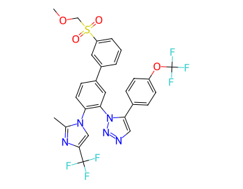 COCS(=O)(=O)c1cccc(-c2ccc(-n3cc(C(F)(F)F)nc3C)c(-n3nncc3-c3ccc(OC(F)(F)F)cc3)c2)c1